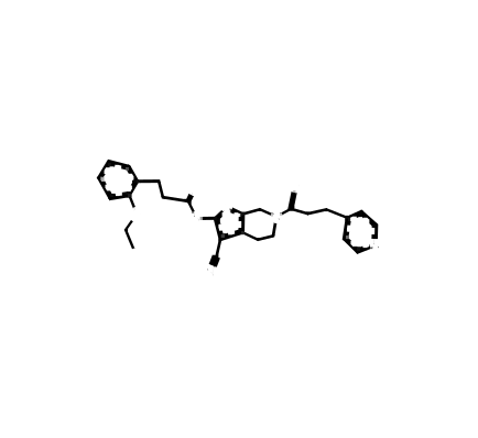 CCOc1ccccc1CCC(=O)Nc1sc2c(c1C#N)CCN(C(=O)CCc1ccncc1)C2